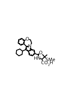 CSC(C)(C)C(NC(=O)c1ccc2c(C3CCCCC3)c3n(c2c1)CCOc1ccccc1-3)C(=O)O